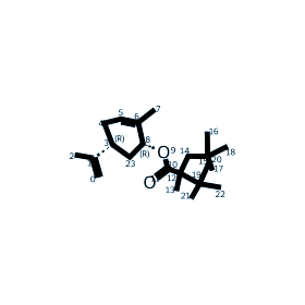 C=C(C)[C@@H]1CC=C(C)[C@H](OC(=O)C(C)(CC(C)(C)C)C(C)(C)C)C1